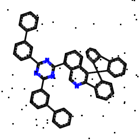 c1ccc(-c2cccc(-c3nc(-c4cccc(-c5ccccc5)c4)nc(-c4cccc5c6c(ncc45)-c4ccccc4C64c5ccccc5-c5ccccc54)n3)c2)cc1